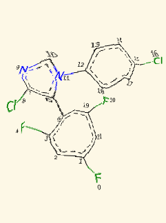 Fc1cc(F)c(-c2c(Cl)ncn2-c2ccc(Cl)cc2)c(F)c1